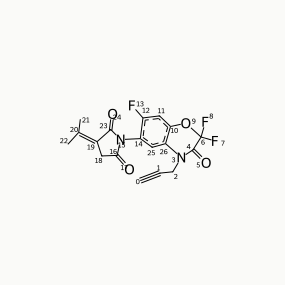 C#CCN1C(=O)C(F)(F)Oc2cc(F)c(N3C(=O)CC(=C(C)C)C3=O)cc21